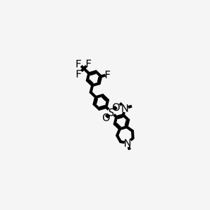 CN1CCc2cc(N(C)C)c(S(=O)(=O)c3ccc(Cc4cc(F)cc(C(F)(F)F)c4)cc3)cc2CC1